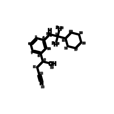 [2H]C([2H])(Nc1cccc(C(O)CC#N)c1)C1CCCCC1